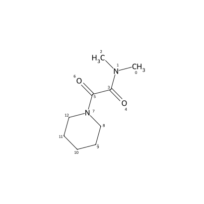 CN(C)C(=O)C(=O)N1C[CH]CCC1